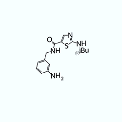 CC[C@@H](C)Nc1ncc(C(=O)NCc2cccc(N)c2)s1